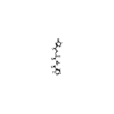 O=C(CCNC(=O)[C@@H]1C[C@@H]1C(=O)c1cnc[nH]1)c1c[nH]cn1